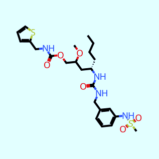 CCCC[C@@H](CC(COC(=O)NCc1cccs1)OC)NC(=O)NCc1cccc(NS(C)(=O)=O)c1